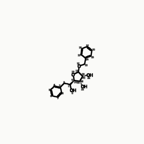 OC(Cc1ccccc1)[C@H]1OC(OCc2ccccc2)[C@H](O)[C@@H]1O